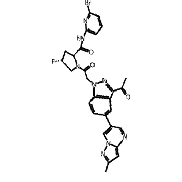 CC(=O)c1nn(CC(=O)N2C[C@H](F)C[C@H]2C(=O)Nc2cccc(Br)n2)c2ccc(-c3cnc4cc(C)nn4c3)cc12